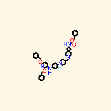 O=C(NC1CC2(CCN(CC3CCN(c4ccc(Nc5ccc(OCc6ccccc6)nc5OCc5ccccc5)cc4F)CC3)CC2)C1)OCc1ccccc1